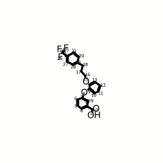 O=C(O)c1cccc(Oc2ccccc2OCCCc2ccc(C(F)(F)F)cc2)c1